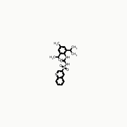 Cc1cc(C(C)C)c(NC(=O)NS(=O)(=O)c2cnc3ccccc3c2)c(C(C)C)c1